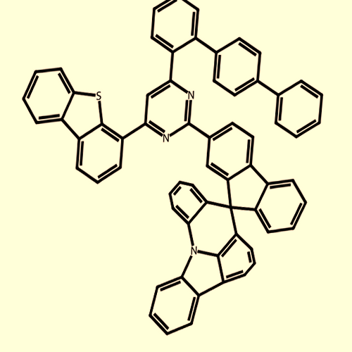 c1ccc(-c2ccc(-c3ccccc3-c3cc(-c4cccc5c4sc4ccccc45)nc(-c4ccc5c(c4)C4(c6ccccc6-5)c5ccccc5-n5c6ccccc6c6cccc4c65)n3)cc2)cc1